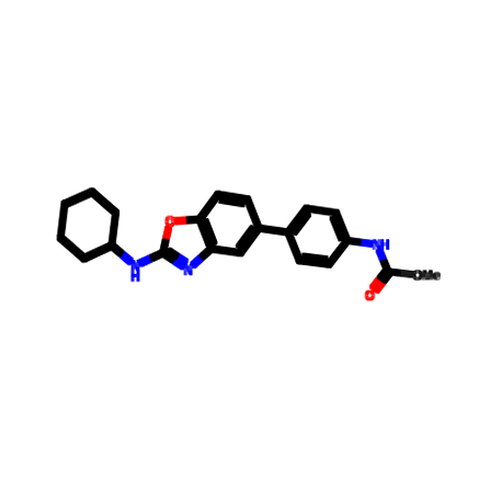 COC(=O)Nc1ccc(-c2ccc3oc(NC4CCCCC4)nc3c2)cc1